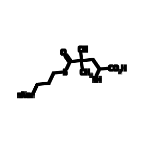 CCCCCCCCCCCCSC(=O)C(C)(C#N)CC(S)C(=O)O